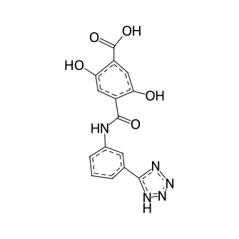 O=C(O)c1cc(O)c(C(=O)Nc2cccc(-c3nnn[nH]3)c2)cc1O